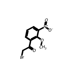 COc1c(C(=O)CBr)cccc1[N+](=O)[O-]